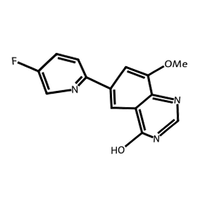 COc1cc(-c2ccc(F)cn2)cc2c(O)ncnc12